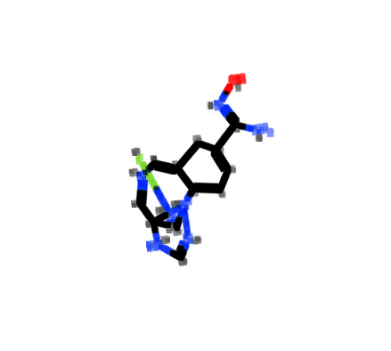 NC(=NO)C1=CC=C2C(=CN=CC34CN(F)C[N+]23N=CN4)C1